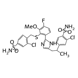 COc1c(F)ccc(-c2ncc(CC(C)c3ccc(S(N)(=O)=O)c(Cl)c3)[nH]2)c1SCc1ccc(S(N)(=O)=O)cc1Cl